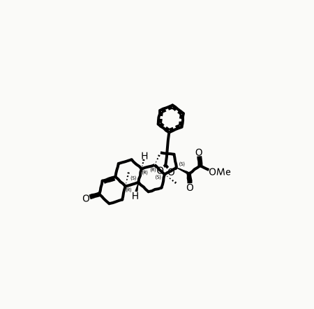 COC(=O)C(=O)[C@@]12CC[C@@]3(OC(c4ccccc4)O1)[C@@H]1CCC4=CC(=O)CC[C@]4(C)[C@H]1CC[C@]23C